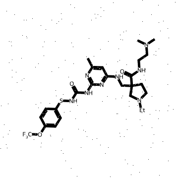 CCN1CCC(CNc2cc(C)nc(NC(=O)NSc3ccc(OC(F)(F)F)cc3)n2)(C(=O)NCCN(C)C)C1